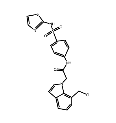 O=C(Cn1ccc2cccc(CCl)c21)Nc1ccc(S(=O)(=O)Nc2nccs2)cc1